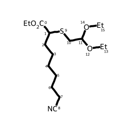 CCOC(=O)C(CCCCCCC#N)SCC(OCC)OCC